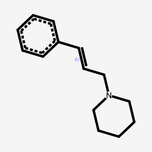 C(=C\c1ccccc1)/CN1CCCCC1